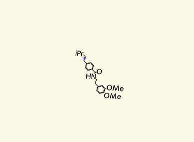 COc1ccc(CCNC(=O)c2ccc(/C=C/C(C)C)cc2)cc1OC